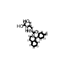 O=C(O)N[C@@H](CO)CNC(=O)N1CCc2ccccc2[C@@H]1c1ccc(F)cc1